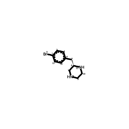 Brc1ccc(C[C@H]2CNCCN2)cc1